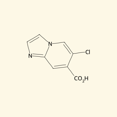 O=C(O)c1cc2nccn2cc1Cl